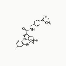 CN(C)c1ccc(CNC(=O)c2nn(-c3ccc(F)cc3F)c3c2C[C@@H]2C[C@H]32)cc1